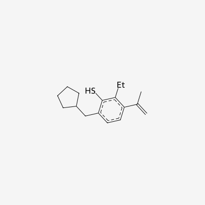 C=C(C)c1ccc(CC2CCCC2)c(S)c1CC